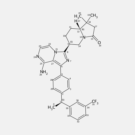 C[C@@H](c1ccc(-c2nc([C@H]3CC[C@H]4N(C3)C(=O)CC4(C)C)n3ccnc(N)c23)cc1)c1cccc(C(F)(F)F)c1